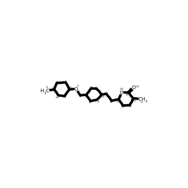 CC1CCC(OCC2CCC(CCC3CCC(C)C(=O)O3)CC2)CC1